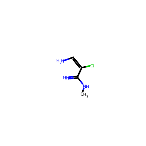 CNC(=N)/C(Cl)=C\N